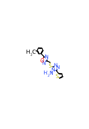 Cc1cccc(-c2nc(CSc3nnc(-c4cccs4)n3N)no2)c1